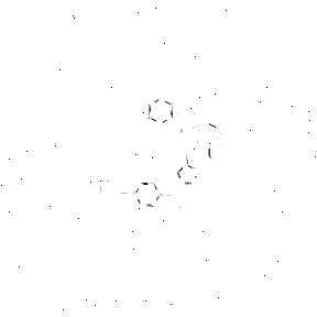 CC(C)(C)NCc1ccc2c(c1)CCC[C@@H]2n1cc(C[C@@H]2C(=O)NC=CN2S(=O)(=O)c2ccccc2)nn1